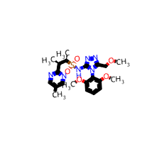 COCc1nnc(NS(=O)(=O)[C@@H](C)[C@H](C)c2ncc(C)cn2)n1-c1c(OC)cccc1OC